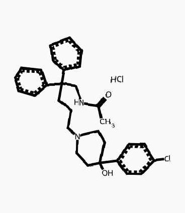 CC(=O)NCC(CCCN1CCC(O)(c2ccc(Cl)cc2)CC1)(c1ccccc1)c1ccccc1.Cl